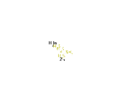 S.S.S.S.[InH3].[Zn]